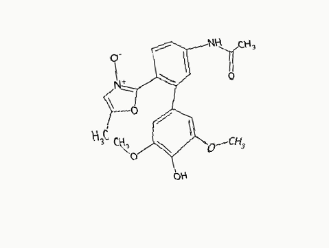 COc1cc(-c2cc(NC(C)=O)ccc2-c2oc(C)c[n+]2[O-])cc(OC)c1O